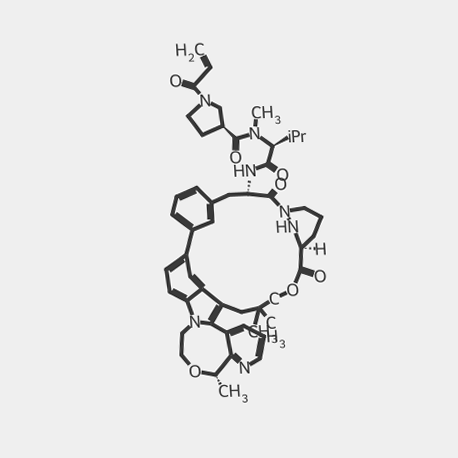 C=CC(=O)N1CC[C@H](C(=O)N(C)[C@H](C(=O)N[C@H]2Cc3cccc(c3)-c3ccc4c(c3)c(c3n4CCO[C@@H](C)c4ncccc4-3)CC(C)(C)COC(=O)[C@@H]3CCCN(N3)C2=O)C(C)C)C1